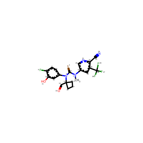 CN(C(=S)N(c1ccc(F)c(O)c1)C1(C=O)CCC1)c1cnc(C#N)c(C(F)(F)F)c1